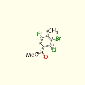 COC(=O)c1cc(F)c(C)c(Br)c1Cl